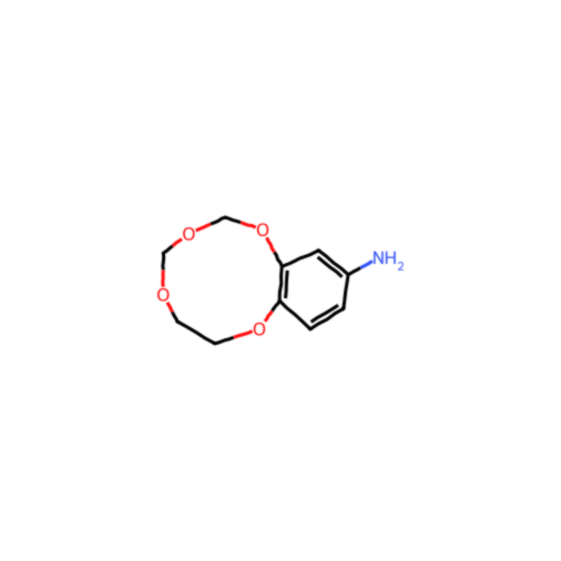 Nc1ccc2c(c1)OCOCOCCO2